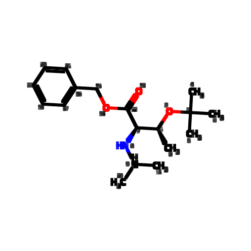 C[C@H](OC(C)(C)C)[C@@H](N[SiH](C)C)C(=O)OCc1ccccc1